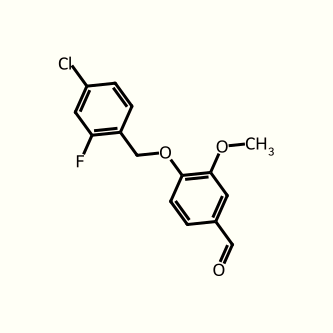 COc1cc(C=O)ccc1OCc1ccc(Cl)cc1F